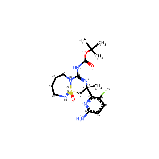 CC(C)(C)OC(=O)NC1=N[C@](C)(c2nc(N)ccc2F)C[S@]2(=O)=NCCCCN12